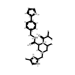 Cc1c[nH]c(CN2CC(C)N(C(=O)C(C)C)C(C(=O)NCc3ccc(-c4ccco4)cc3)C2)n1